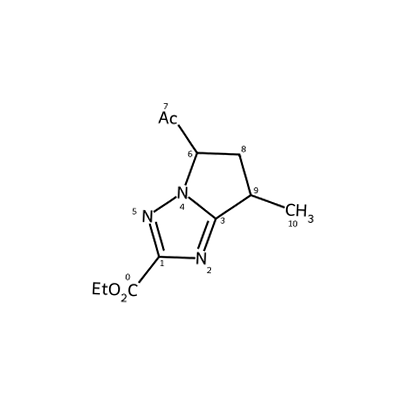 CCOC(=O)c1nc2n(n1)C(C(C)=O)CC2C